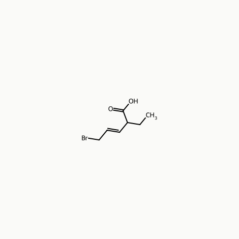 CCC(/C=C/CBr)C(=O)O